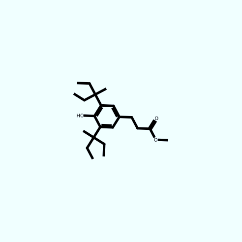 CCC(C)(CC)c1cc(CCC(=O)OC)cc(C(C)(CC)CC)c1O